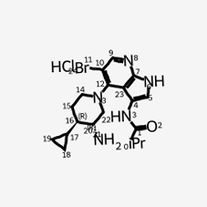 CC(C)C(=O)Nc1c[nH]c2ncc(Br)c(N3CC[C@H](C4CC4)[C@@H](N)C3)c12.Cl